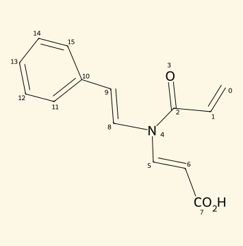 C=CC(=O)N(C=CC(=O)O)C=Cc1ccccc1